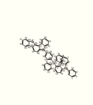 c1ccc(-n2c3ccccc3c3c([Si](c4ccccc4)(c4ccccc4)c4ccc(-n5c6ccccc6c6c7sc8ccccc8c7ccc65)cc4)cccc32)cc1